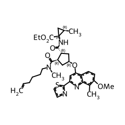 C=CCCCCN(C)C(=O)[C@@H]1C[C@H](Oc2cc(-c3nccs3)nc3c(C)c(OC)ccc23)C[C@H]1C(=O)N[C@]1(C(=O)OCC)C[C@H]1C